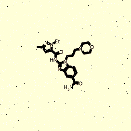 CCn1nc(C)cc1C(=O)Nc1nc2cc(C(N)=O)ccc2n1CCCN1CCOCC1